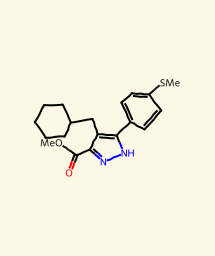 COC(=O)c1n[nH]c(-c2ccc(SC)cc2)c1CC1CCCCC1